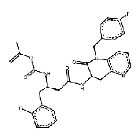 C=C(C)OC(=O)N[C@@H](CC(=O)NC1Cc2ncccc2N(Cc2ccc(F)cc2)C1=O)Cc1ccccc1F